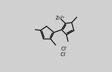 CC1=CC(C)=C(C2=[C]([Zr+2])C(C)C=C2C)C1.[Cl-].[Cl-]